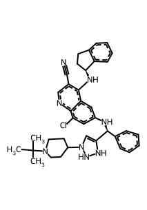 CC(C)(C)N1CCC(N2C=C([C@@H](Nc3cc(Cl)c4ncc(C#N)c(N[C@H]5CCc6ccccc65)c4c3)c3ccccc3)NN2)CC1